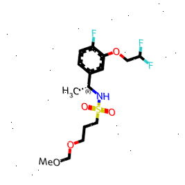 COCOCCCS(=O)(=O)N[C@H](C)c1ccc(F)c(OCC(F)F)c1